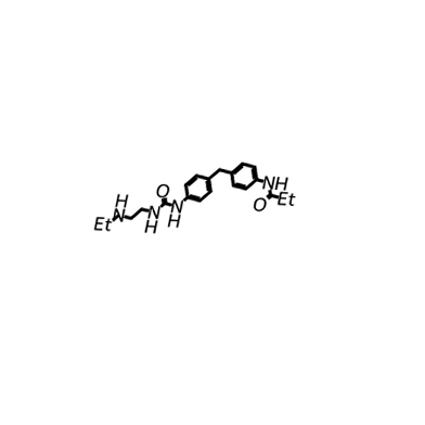 CCNCCNC(=O)Nc1ccc(Cc2ccc(NC(=O)CC)cc2)cc1